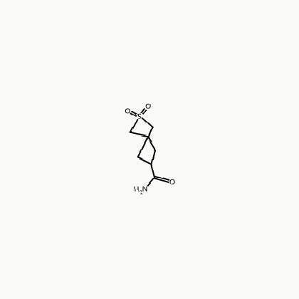 NC(=O)C1CC2(C1)CS(=O)(=O)C2